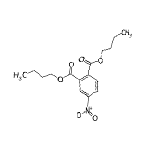 CCCCOC(=O)c1ccc([N+](=O)[O-])cc1C(=O)OCCCC